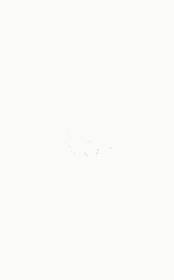 Cc1cc([N+](=O)[O-])ccc1/N=C1/SCC2(CCCC2)N1CC1CCCCO1